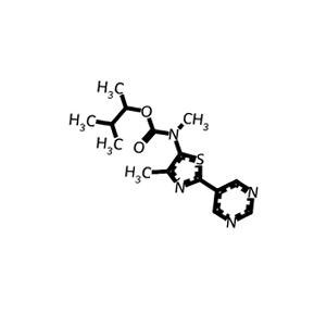 Cc1nc(-c2cncnc2)sc1N(C)C(=O)OC(C)C(C)C